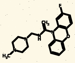 C=C(NCN1CCN(C)CC1)N1c2ccccc2Oc2ccc(F)cc21